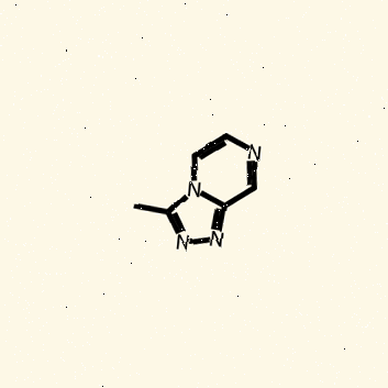 Cc1nnc2cnccn12